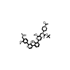 CNCc1ccc(-c2nccc(-c3cccc(-c4ccc(CN(C(=O)OC(C)(C)C)C5CCN(C(C)=O)CC5)c(OC)n4)c3Cl)c2Cl)cc1OC